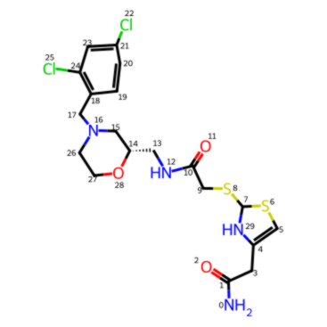 NC(=O)CC1=CSC(SCC(=O)NC[C@H]2CN(Cc3ccc(Cl)cc3Cl)CCO2)N1